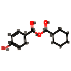 O=C(OC(=O)C1CCCCC1)c1ccc(Br)cc1